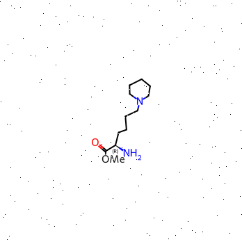 COC(=O)[C@H](N)CCCCN1CCCCC1